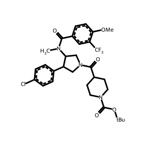 COc1ccc(C(=O)N(C)C2CN(C(=O)C3CCN(C(=O)OC(C)(C)C)CC3)CC2c2ccc(Cl)cc2)cc1C(F)(F)F